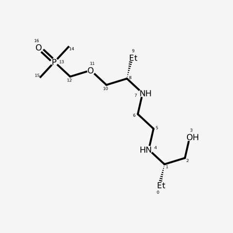 CC[C@@H](CO)NCCN[C@@H](CC)COCP(C)(C)=O